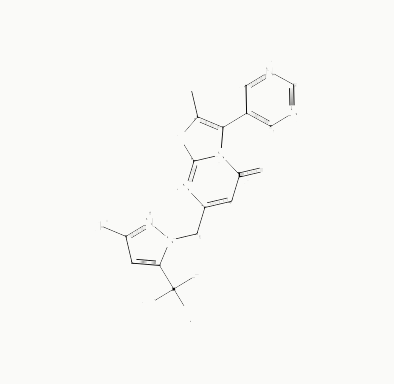 Cc1sc2nc(Cn3nc(Cl)cc3C(F)(F)F)cc(=O)n2c1-c1cncnc1